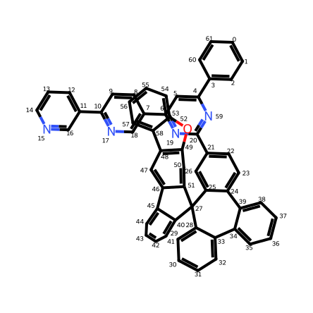 c1ccc(-c2cc(-c3ccc(-c4cccnc4)nc3)nc(-c3ccc4c(c3)C3(c5ccccc5-c5ccccc5-4)c4ccccc4-c4cc5c(cc43)oc3ccccc35)n2)cc1